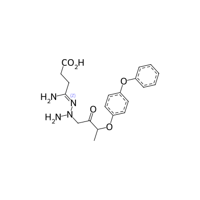 CC(Oc1ccc(Oc2ccccc2)cc1)C(=O)CN(N)/N=C(\N)CCC(=O)O